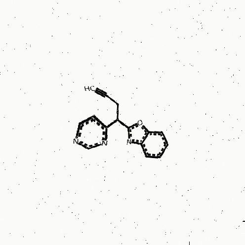 C#CCC(c1ccncn1)c1nc2ccccc2o1